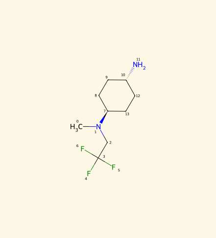 CN(CC(F)(F)F)[C@H]1CC[C@H](N)CC1